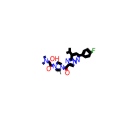 CC(C)c1cc(-c2ccc(F)cc2)nn2cc(C(=O)N3CCN(C(=O)C(O)N(C)C)C[C@H]3C)nc12